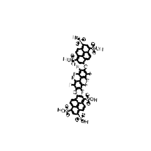 O=S(=O)(O)c1cc(Oc2c(F)c(F)c(-c3c(F)c(F)c(Oc4cc(S(=O)(=O)O)c5ccc6c(S(=O)(=O)O)cc(S(=O)(=O)O)c7ccc4c5c76)c(F)c3F)c(F)c2F)c2ccc3c(S(=O)(=O)O)cc(S(=O)(=O)O)c4ccc1c2c34